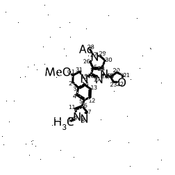 COC1Cc2cc(-c3cnn(C)c3)ccc2N(c2nn([C@H]3CCOC3)c3c2CN(C(C)=O)CC3)C1